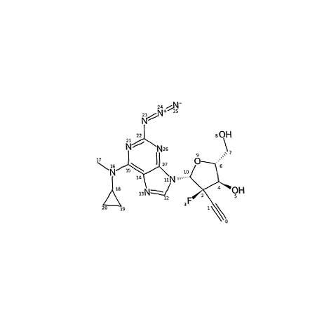 C#C[C@@]1(F)[C@H](O)[C@@H](CO)O[C@H]1n1cnc2c(N(C)C3CC3)nc(N=[N+]=[N-])nc21